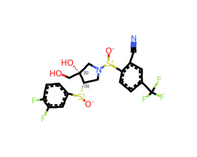 N#Cc1cc(C(F)(F)F)ccc1[S+]([O-])N1C[C@H]([S+]([O-])c2ccc(F)c(F)c2)[C@@](O)(CO)C1